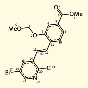 COCOc1cc(C(=O)OC)ccc1/C=C/c1cc(Br)cnc1Cl